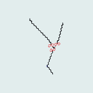 CCCCCC/C=C\CCCCCCCCCC(=O)O[C@@H](COC(=O)CCCCCCCCCCCCC)COC(=O)CCCCCCCCCCCCCCCCCCCCC